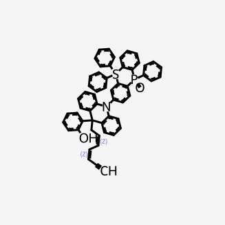 C#C/C=C\C=C/CC1(c2ccccc2O)c2ccccc2N(c2ccc3c(c2)S(c2ccccc2)(c2ccccc2)c2ccccc2P3(=O)c2ccccc2)c2ccccc21